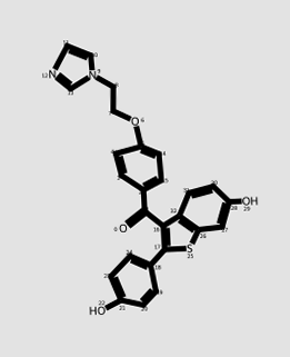 O=C(c1ccc(OCCn2ccnc2)cc1)c1c(-c2ccc(O)cc2)sc2cc(O)ccc12